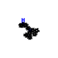 c1ccc(-c2ccccc2-c2ccc3c(c2)c2cc(-c4ccccc4-c4ccccc4)ccc2n3-c2ccc(-c3ccc4[nH]c5ccccc5c4c3)cc2)cc1